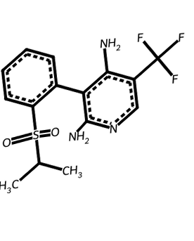 CC(C)S(=O)(=O)c1ccccc1-c1c(N)ncc(C(F)(F)F)c1N